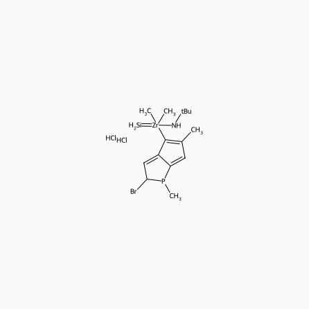 CC1=[C]([Zr]([CH3])([CH3])(=[SiH2])[NH]C(C)(C)C)C2=CC(Br)P(C)C2=C1.Cl.Cl